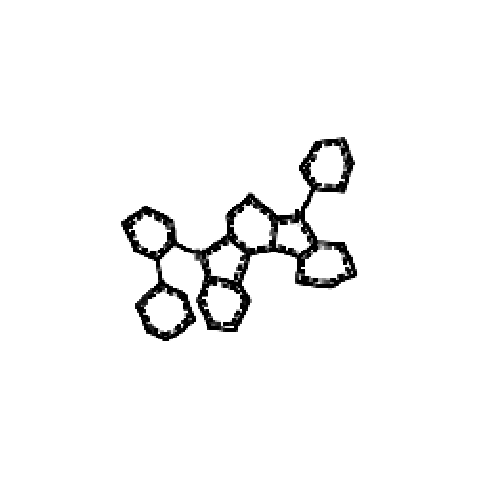 c1ccc(-c2ccccc2-n2c3ccccc3c3c4c5ccccc5n(-c5ccccc5)c4ccc32)cc1